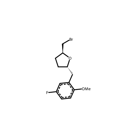 COc1ccc(F)cc1C[C@@H]1CC[C@@H](CBr)O1